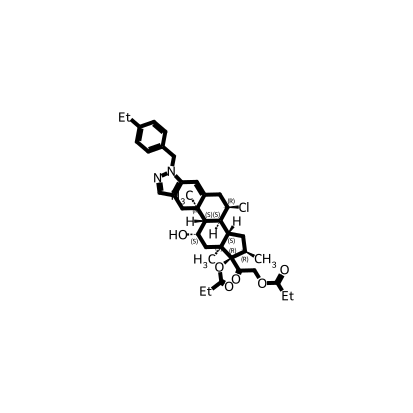 CCC(=O)OCC(=O)[C@@]1(OC(=O)CC)[C@H](C)C[C@H]2[C@H]3[C@H]([C@@H](O)C[C@@]21C)[C@@]1(C)Cc2cnn(Cc4ccc(CC)cc4)c2C=C1C[C@H]3Cl